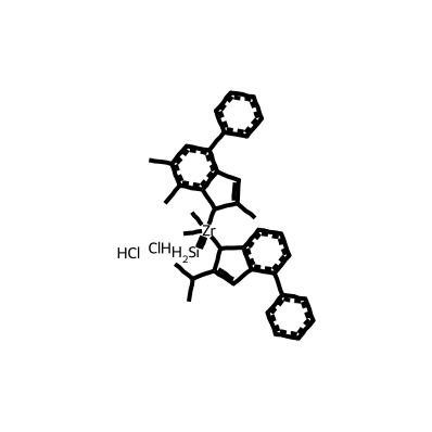 CC1=Cc2c(-c3ccccc3)cc(C)c(C)c2[CH]1[Zr]([CH3])([CH3])(=[SiH2])[CH]1C(C(C)C)=Cc2c(-c3ccccc3)cccc21.Cl.Cl